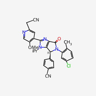 COc1cnc(CC#N)cc1-c1nc2c(n1C(C)C)[C@H](c1ccc(C#N)cc1)N(c1cc(Cl)ccc1C)C2=O